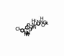 C[C@H]1Cc2cc(-c3cc(Cl)ccc3-n3cnnn3)cc(=O)n2[C@@H]1c1[nH]c(-c2ccc(NC(=O)OC(C)(C)C)nc2F)nc1F